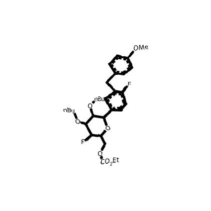 CCCCOC1C(c2ccc(F)c(Cc3ccc(OC)cc3)c2)OC(COC(=O)OCC)C(F)C1OCCCC